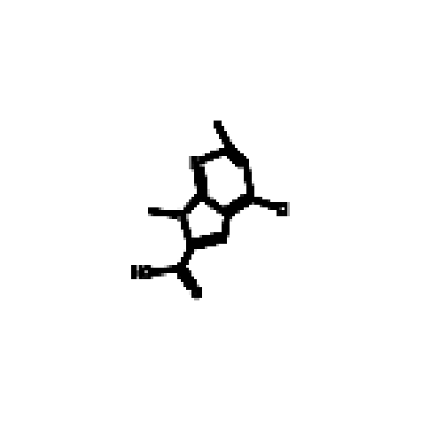 Cc1cc(Cl)c2cc(C(=O)O)n(C)c2n1